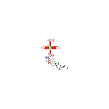 Cl.N.O.O=S(=O)(O)O.[CaH2].[CaH2]